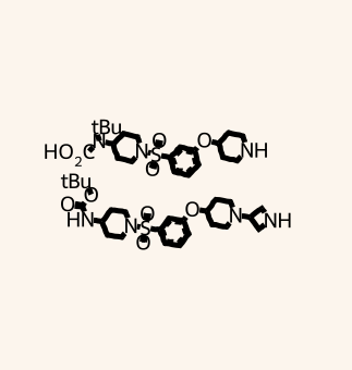 CC(C)(C)N(C(=O)O)C1CCN(S(=O)(=O)c2cccc(OC3CCNCC3)c2)CC1.CC(C)(C)OC(=O)NC1CCN(S(=O)(=O)c2cccc(OC3CCN(C4CNC4)CC3)c2)CC1